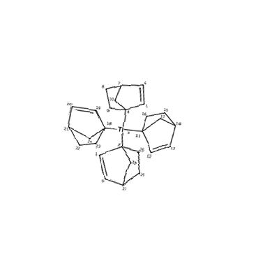 C1=C[C]2([Ti]([C]34C=CC(CC3)C4)([C]34C=CC(CC3)C4)[C]34C=CC(CC3)C4)CCC1C2